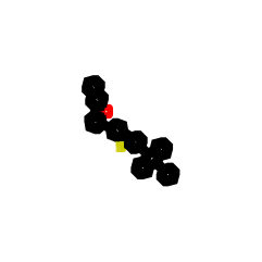 c1ccc(-c2c3ccccc3c(-c3ccc4c(c3)sc3cc(-c5cccc6c5oc5cc7ccccc7cc56)ccc34)c3ccccc23)cc1